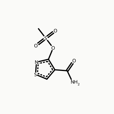 CS(=O)(=O)Oc1nscc1C(N)=O